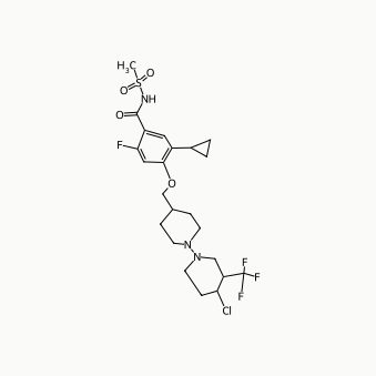 CS(=O)(=O)NC(=O)c1cc(C2CC2)c(OCC2CCN(N3CCC(Cl)C(C(F)(F)F)C3)CC2)cc1F